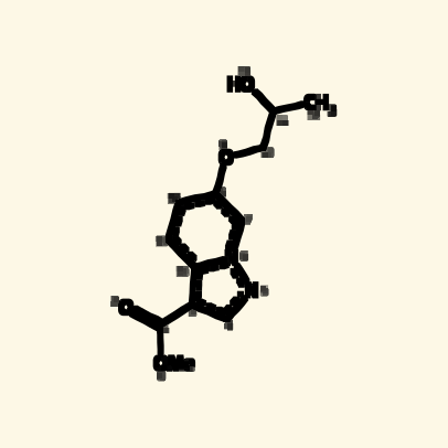 COC(=O)c1cnn2cc(OCC(C)O)ccc12